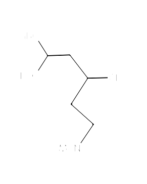 CCCCC(C)CC(C)CCNC